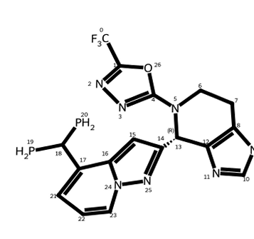 FC(F)(F)c1nnc(N2CCc3[nH]cnc3[C@@H]2c2cc3c(C(P)P)cccn3n2)o1